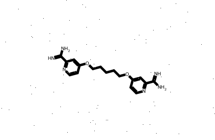 N=C(N)c1cc(OCCCCCOc2ccnc(C(=N)N)c2)ccn1